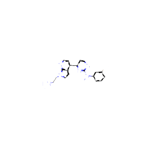 CN(c1cccc(Br)c1)c1nccc(-c2ccnc3c2ccn3CCN)n1